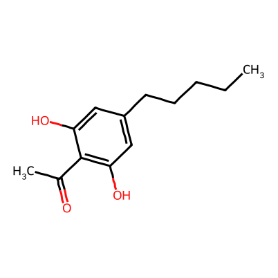 CCCCCc1cc(O)c(C(C)=O)c(O)c1